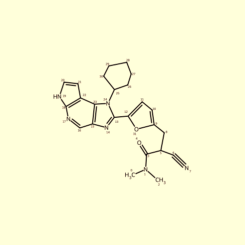 CN(C)C(=O)C(C#N)Cc1ccc(-c2nc3cnc4[nH]ccc4c3n2C2CCCCC2)o1